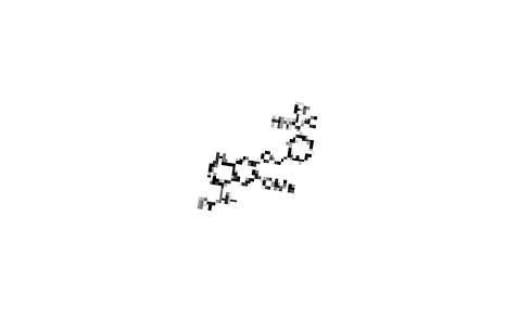 CCS(=N)(=O)c1cccc(COc2cc3ncnc(NC(C)C)c3cc2OC)c1